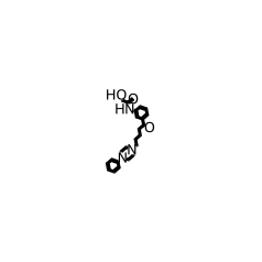 O=C(CO)Nc1cccc(C(=O)CCCCN2CCN(c3ccccc3)CC2)c1